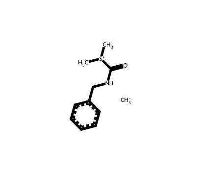 C[S+](C)C(=O)NCc1ccccc1.[CH3-]